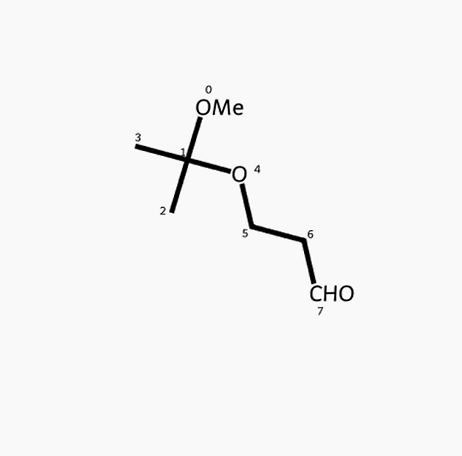 COC(C)(C)OCCC=O